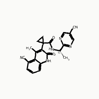 Cc1c(C2(C(=O)N[C@@H](C)c3ncc(C#N)cn3)CC2)c(=O)[nH]c2cccc(C#N)c12